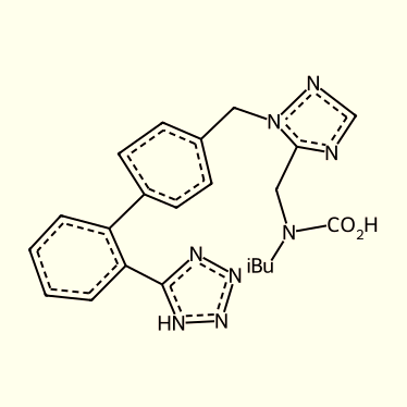 CCC(C)N(Cc1ncnn1Cc1ccc(-c2ccccc2-c2nnn[nH]2)cc1)C(=O)O